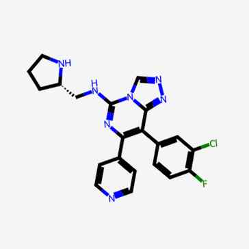 Fc1ccc(-c2c(-c3ccncc3)nc(NC[C@@H]3CCCN3)n3cnnc23)cc1Cl